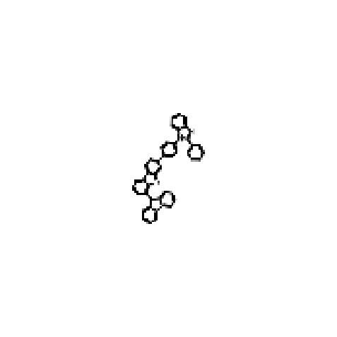 c1ccc(-c2nc3ccccc3n2-c2ccc(-c3ccc4c(c3)oc3c(C5c6ccccc6-c6ccccc65)cccc34)cc2)cc1